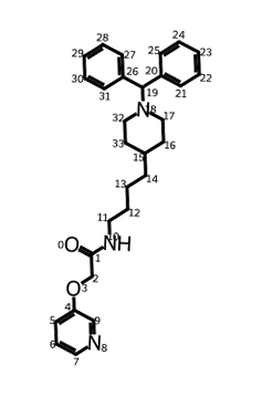 O=C(COc1cccnc1)NCCCCC1CCN(C(c2ccccc2)c2ccccc2)CC1